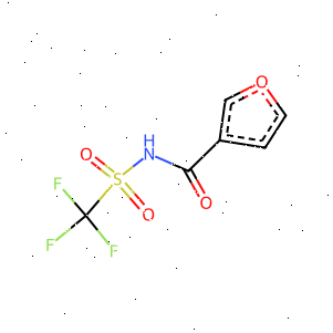 O=C(NS(=O)(=O)C(F)(F)F)c1ccoc1